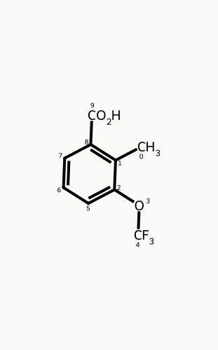 Cc1c(OC(F)(F)F)cccc1C(=O)O